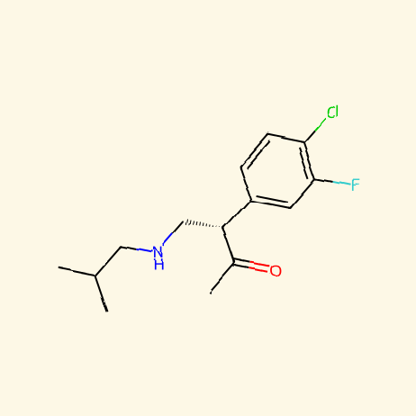 CC(=O)[C@H](CNCC(C)C)c1ccc(Cl)c(F)c1